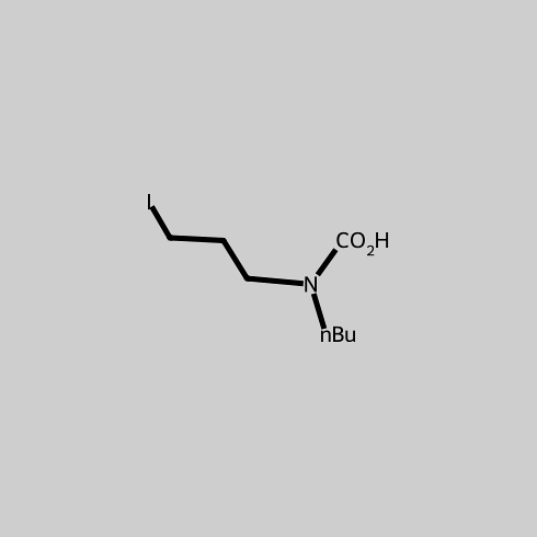 CCCCN(CCCI)C(=O)O